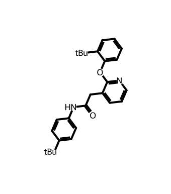 CC(C)(C)c1ccc(NC(=O)Cc2cccnc2Oc2ccccc2C(C)(C)C)cc1